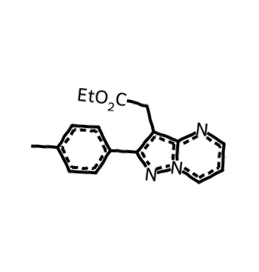 CCOC(=O)Cc1c(-c2ccc(C)cc2)nn2cccnc12